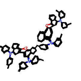 Cc1ccc(N(c2ccc(C)cc2)c2cc3c4cc(N(c5ccc(C)cc5)c5ccc(C)cc5)c5ccc(Cc6cccc(N(c7cccc(C)c7)c7cc8c9cc(N(c%10cccc(C)c%10)c%10cccc(C)c%10)c%10ccccc%10c9oc8c8ccccc78)c6)cc5c4oc3c3ccccc23)cc1